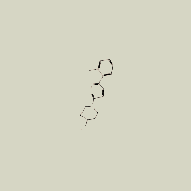 OC1CCN(c2ccc(-c3ccccc3Cl)nn2)CC1